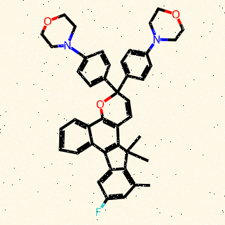 Cc1cc(F)cc2c1C(C)(C)c1c3c(c4ccccc4c1-2)OC(c1ccc(N2CCOCC2)cc1)(c1ccc(N2CCOCC2)cc1)C=C3